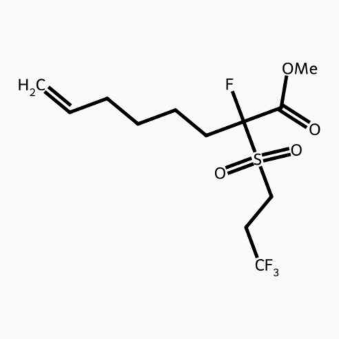 C=CCCCCC(F)(C(=O)OC)S(=O)(=O)CCC(F)(F)F